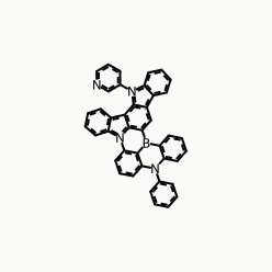 c1ccc(N2c3ccccc3B3c4c2cccc4-n2c4ccccc4c4c2c3cc2c3ccccc3n(-c3cccnc3)c24)cc1